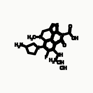 CN1Cc2csc3c2c2c1c(N1CCC(N)C1)c(F)c(NN)c2c(=O)n3C(=O)O.Cl.Cl